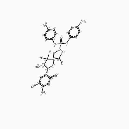 Cc1ccc(OP(=O)(OC[C@@]2(C(F)F)O[C@@H](n3cc(Cl)c(N)nc3=O)[C@H](O)C2(F)F)Oc2ccc(C)cc2)cc1